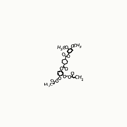 C=CC(=O)OCOc1ccc(OC(=O)C2CCC(C(=O)Oc3ccc(OC)c(OC)c3)CC2)cc1OCOC(=O)C=C